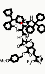 COc1ccc(COC(=O)C2=C(C=Cc3scnc3C(F)(F)F)CS[C@H]3C(NC(=O)C(=NOc4ccccc4C(c4ccccc4)c4ccccc4)c4nsc(NC(c5ccccc5)(c5ccccc5)c5ccccc5)n4)C(=O)N23)cc1